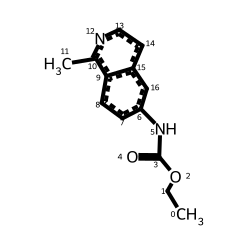 CCOC(=O)Nc1ccc2c(C)nccc2c1